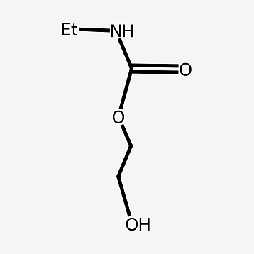 CCNC(=O)OCCO